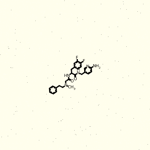 CN(CCc1ccccc1)CC(=O)NC(Cc1ccc(F)c(F)c1)C(=O)NCc1ccc(N)nc1